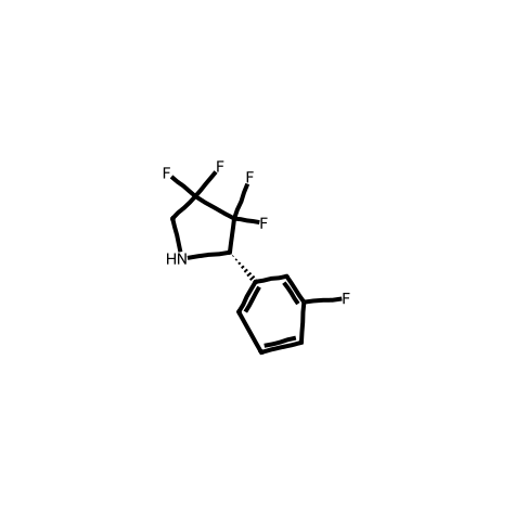 Fc1cccc([C@@H]2NCC(F)(F)C2(F)F)c1